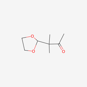 CC(=O)C(C)(C)C1OCCO1